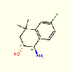 CC1(C)C[C@@H](O)[C@H](N)c2ccc(F)cc21